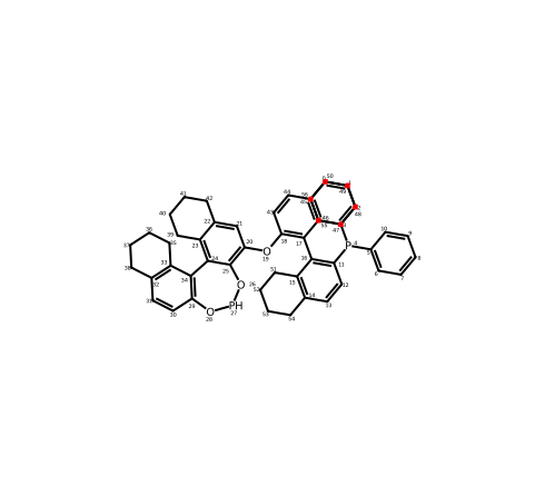 c1ccc(P(c2ccccc2)c2ccc3c(c2-c2c(Oc4cc5c(c6c4o[pH]oc4ccc7c(c46)CCCC7)CCCC5)ccc4c2CCCC4)CCCC3)cc1